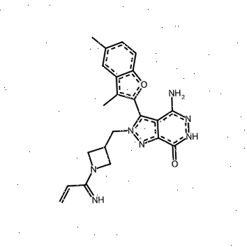 C=CC(=N)N1CC(Cn2nc3c(=O)[nH]nc(N)c3c2-c2oc3ccc(C)cc3c2C)C1